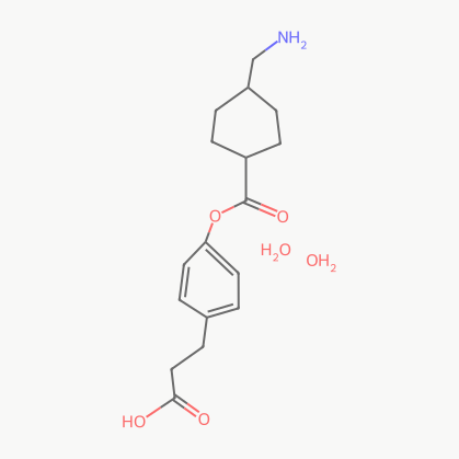 NCC1CCC(C(=O)Oc2ccc(CCC(=O)O)cc2)CC1.O.O